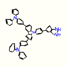 c1ccc(N(c2ccccc2)c2ccc(-c3ccc4c(c3)c3cc(-c5ccc(N(c6ccccc6)c6ccccc6)cc5)ccc3n4-c3ccc(-c4ccc5c(c4)CNCN5)cc3)cc2)cc1